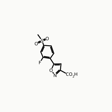 CS(=O)(=O)c1ccc(-c2cc(C(=O)O)no2)c(F)c1